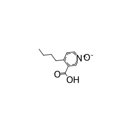 CCCCc1cc[n+]([O-])cc1C(=O)O